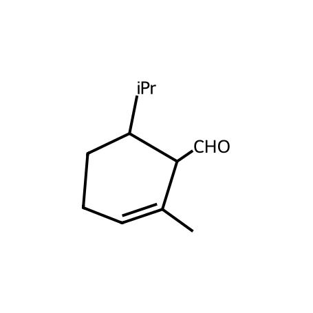 CC1=CCCC(C(C)C)C1C=O